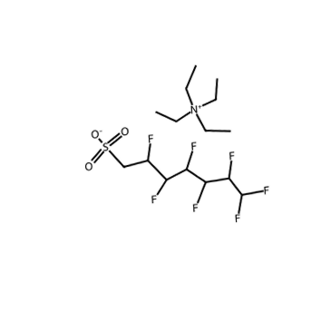 CC[N+](CC)(CC)CC.O=S(=O)([O-])CC(F)C(F)C(F)C(F)C(F)C(F)F